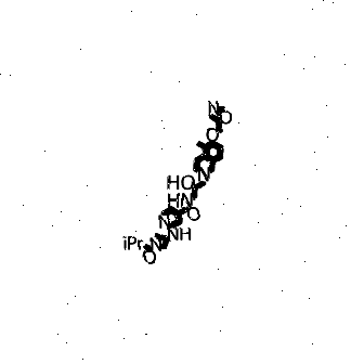 Cc1c(OCc2cnco2)ccc2c1CCN(CC(O)CNC(=O)c1ccnc(NC3CN(C(=O)C(C)C)C3)c1)C2